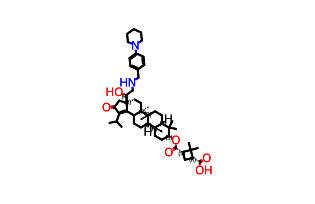 CC(C)C1=C2C3CC[C@@H]4[C@@]5(C)CC[C@H](OC(=O)[C@H]6C[C@@H](C(=O)O)C6(C)C)C(C)(C)[C@@H]5CC[C@@]4(C)[C@]3(C)CC[C@@]2([C@@H](O)CNCc2ccc(N3CCCCC3)cc2)CC1=O